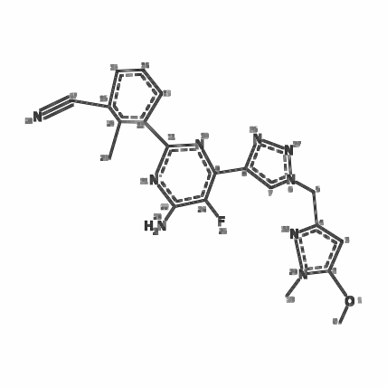 COc1cc(Cn2cc(-c3nc(-c4cccc(C#N)c4C)nc(N)c3F)nn2)nn1C